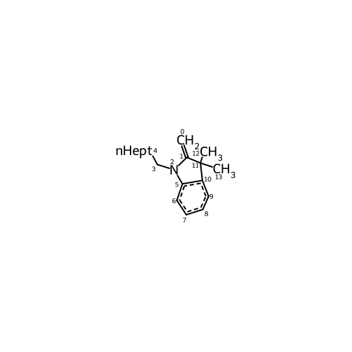 C=C1N(CCCCCCCC)c2ccccc2C1(C)C